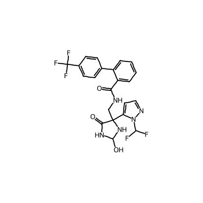 O=C(NCC1(c2ccnn2C(F)F)NC(O)NC1=O)c1ccccc1-c1ccc(C(F)(F)F)cc1